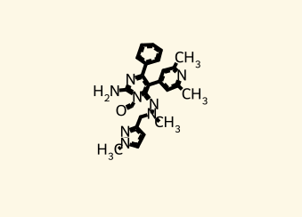 Cc1cc(-c2c(-c3ccccc3)nc(N)n(C=O)/c2=N\N(C)Cc2ccn(C)n2)cc(C)n1